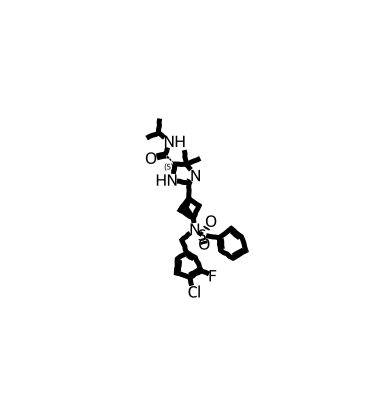 CC(C)NC(=O)[C@H]1NC(C23CC(N(Cc4ccc(Cl)c(F)c4)S(=O)(=O)c4ccccc4)(C2)C3)=NC1(C)C